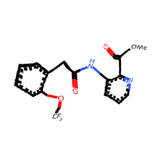 COC(=O)c1ncccc1NC(=O)Cc1ccccc1OC(F)(F)F